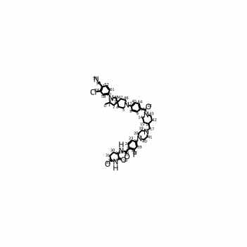 CC1CC2(CCN(c3ccc(C(=O)N4CCC(CN5CCN(c6ccc(C(=O)NC7CCC(=O)NC7=O)c(F)c6)CC5)CC4)cc3)CC2)CN1c1ccc(C#N)c(Cl)c1